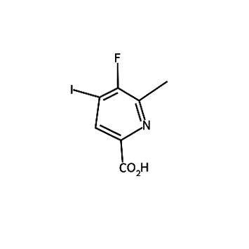 Cc1nc(C(=O)O)cc(I)c1F